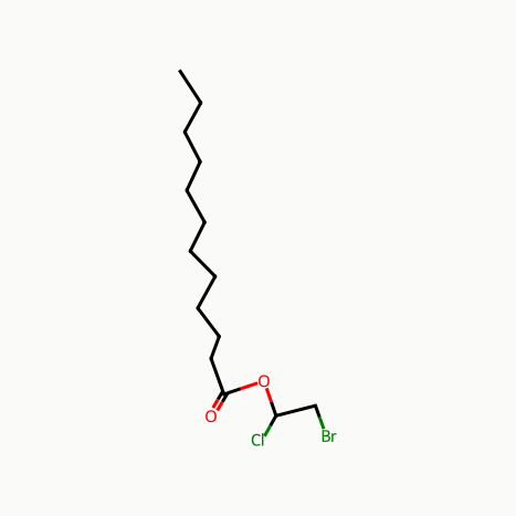 CCCCCCCCCCCC(=O)OC(Cl)CBr